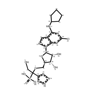 O=P(O)(O)C(CO)(OC[C@H]1O[C@@H](n2ncc3c(NC4CCCC4)nc(Cl)nc32)[C@H](O)[C@@H]1O)c1nn[nH]n1